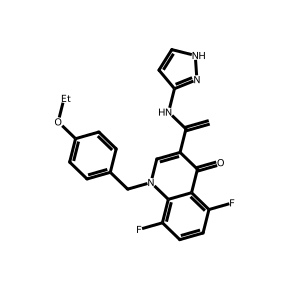 C=C(Nc1cc[nH]n1)c1cn(Cc2ccc(OCC)cc2)c2c(F)ccc(F)c2c1=O